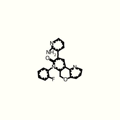 Nc1ncccc1-c1cc2c(n(-c3ccccc3F)c1=O)COc1cccnc1-2